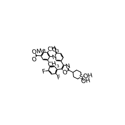 COC(=O)c1cc(C)c(-n2cc(-c3nc(C4CCS(O)(O)CC4)oc3-c3ccc(F)cc3F)ccc2=O)c(C)c1